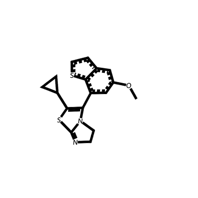 COc1cc(C2=C(C3CC3)SC3=NCCN32)c2sccc2c1